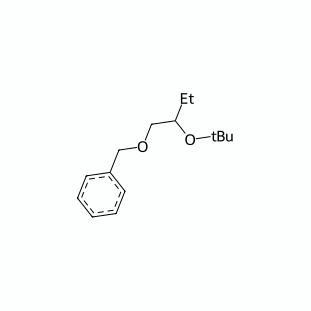 CCC(COCc1ccccc1)OC(C)(C)C